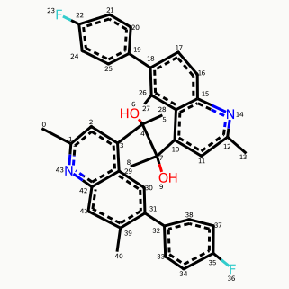 Cc1cc(C(C)(O)C(C)(O)c2cc(C)nc3ccc(-c4ccc(F)cc4)c(C)c23)c2cc(-c3ccc(F)cc3)c(C)cc2n1